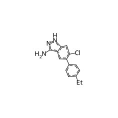 CCc1ccc(-c2cc3c(N)n[nH]c3cc2Cl)cc1